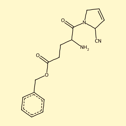 N#CC1C=CCN1C(=O)C(N)CCC(=O)OCc1ccccc1